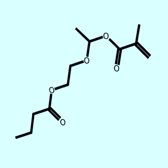 C=C(C)C(=O)OC(C)OCCOC(=O)CCC